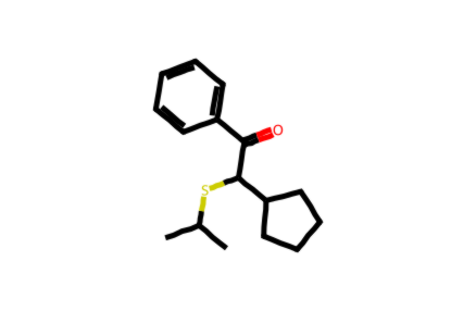 CC(C)SC(C(=O)c1ccccc1)C1CCCC1